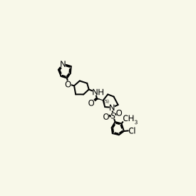 Cc1c(Cl)cccc1S(=O)(=O)N1CCC[C@H](C(=O)NC2CCC(Oc3ccncc3)CC2)C1